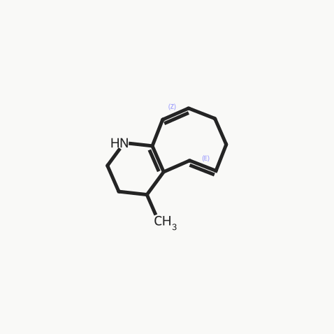 CC1CCNC2=C1/C=C/CC/C=C\2